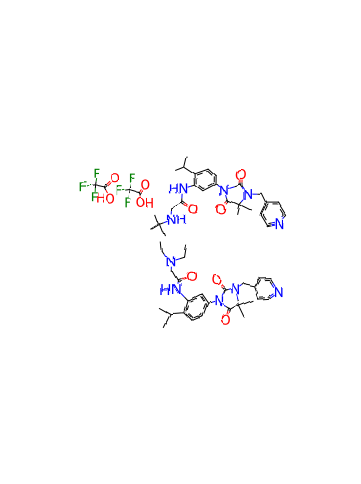 CC(C)c1ccc(N2C(=O)N(Cc3ccncc3)C(C)(C)C2=O)cc1NC(=O)CNC(C)(C)C.CCN(CC)CC(=O)Nc1cc(N2C(=O)N(Cc3ccncc3)C(C)(C)C2=O)ccc1C(C)C.O=C(O)C(F)(F)F.O=C(O)C(F)(F)F